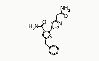 NC(=O)Cc1cn(-c2sc(Cc3ccccc3)cc2C(N)=O)cn1